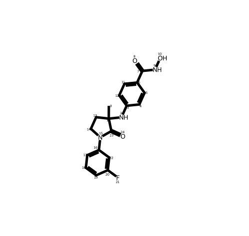 CC1(Nc2ccc(C(=O)NO)cc2)CCN(c2cccc(F)c2)C1=O